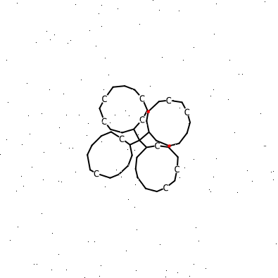 C1CCCCCC(C(C2CCCCCCCCCCC2)(C2CCCCCCCCCCC2)C2CCCCCCCCCCC2)CCCCC1